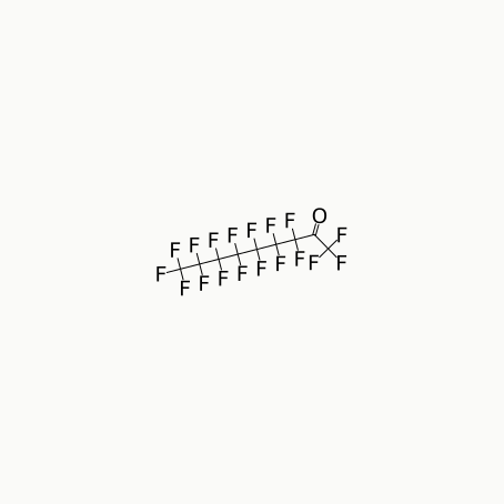 O=C(C(F)(F)F)C(F)(F)C(F)(F)C(F)(F)C(F)(F)C(F)(F)C(F)(F)C(F)(F)F